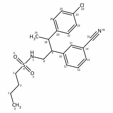 CCCCS(=O)(=O)NCC(c1cccc(C#N)c1)C(C)c1ccc(Cl)cc1